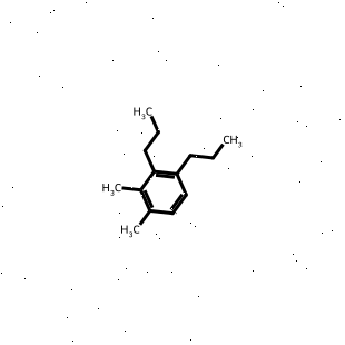 CCCc1c[c]c(C)c(C)c1CCC